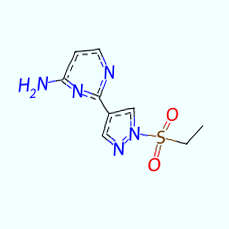 CCS(=O)(=O)n1cc(-c2nccc(N)n2)cn1